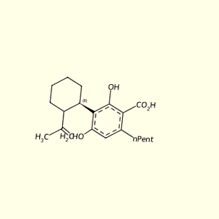 C=C(C)C1CCCC[C@H]1c1c(O)cc(CCCCC)c(C(=O)O)c1O